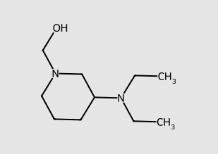 CCN(CC)C1CCCN(CO)C1